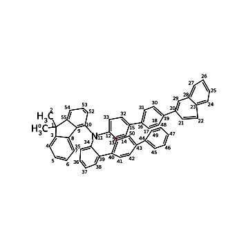 CC1(C)c2ccccc2-c2c(N(c3ccc(-c4ccc(-c5ccc6ccccc6c5)cc4)cc3)c3ccccc3-c3ccc(-c4ccccc4)cc3)cccc21